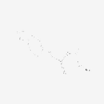 CC(C)(C)OC(=O)OC(=O)CNc1ccc(CC(=O)O)cc1